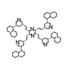 C(=Cc1nc(C=Cc2cncc(-c3cccc4ccccc34)c2)c(C=Cc2cncc(-c3cccc4ccccc34)c2)nc1C=Cc1cncc(-c2cccc3ccccc23)c1)c1cncc(-c2cccc3ccccc23)c1